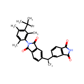 Cc1cc(C)c(C(C)(C)C(C)C)c(C)c1N1C(=O)c2ccc([C@@H](c3ccc4c(c3)C(=O)NC4=O)C(F)(F)F)cc2C1=O